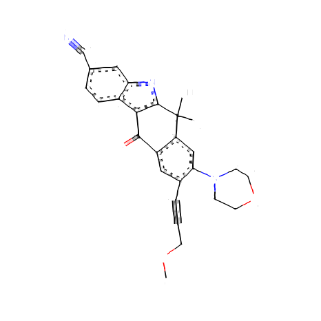 COCC#Cc1cc2c(cc1N1CCOCC1)C(C)(C)c1[nH]c3cc(C#N)ccc3c1C2=O